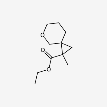 CCOC(=O)C1(C)CC12CCCOC2